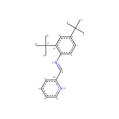 CC(C)(C)c1ccc(N=Cc2ccccn2)c(C(C)(C)C)c1